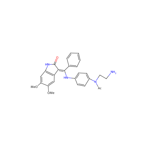 COc1cc2c(cc1OC)C(=C(Nc1ccc(N(CCN)C(C)=O)cc1)c1ccccc1)C(=O)N2